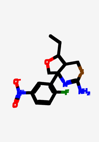 CCC1OCC2(c3cc([N+](=O)[O-])ccc3F)N=C(N)SCC12